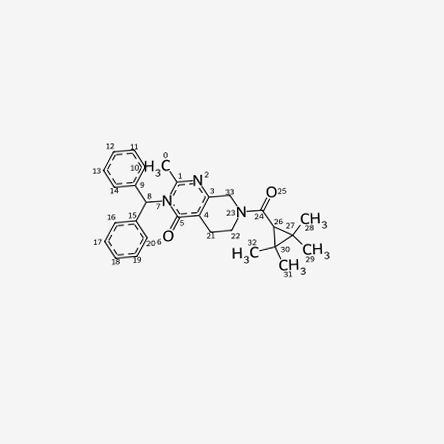 Cc1nc2c(c(=O)n1C(c1ccccc1)c1ccccc1)CCN(C(=O)C1C(C)(C)C1(C)C)C2